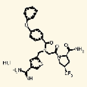 Cl.N=C(N)c1csc(CN(CC(=O)N2C[C@H](C(F)(F)F)C[C@@H]2C(N)=O)C(=O)c2ccc(Oc3ccccc3)cc2)c1